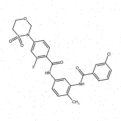 Cc1ccc(NC(=O)c2ccc(N3COCCS3(=O)=O)cc2F)cc1NC(=O)c1cccc(Cl)c1